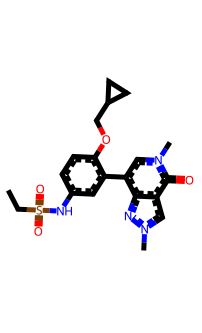 CCS(=O)(=O)Nc1ccc(OCC2CC2)c(-c2cn(C)c(=O)c3cn(C)nc23)c1